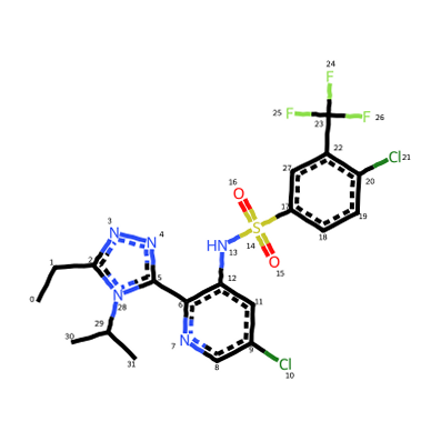 CCc1nnc(-c2ncc(Cl)cc2NS(=O)(=O)c2ccc(Cl)c(C(F)(F)F)c2)n1C(C)C